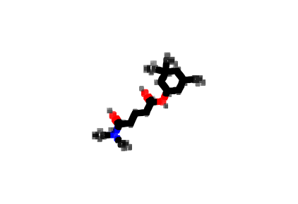 CC1CC(OC(=O)CCCC(=O)N(C)C)CC(C)(C)C1